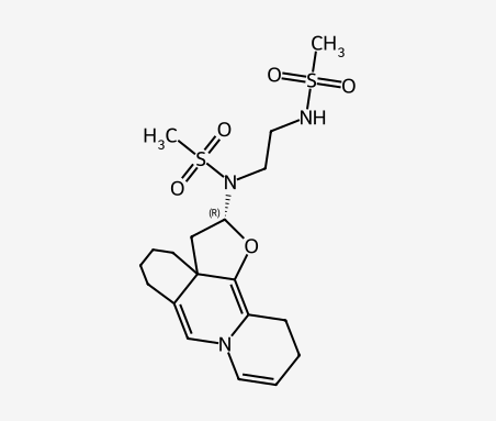 CS(=O)(=O)NCCN([C@H]1CC23CCCCC2=CN2C=CCCC2=C3O1)S(C)(=O)=O